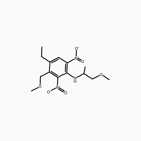 CCc1cc([N+](=O)[O-])c(NC(C)COC)c([N+](=O)[O-])c1COC